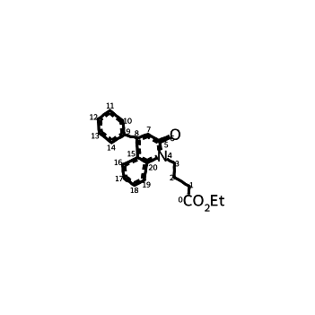 CCOC(=O)CCCn1c(=O)cc(-c2ccccc2)c2ccccc21